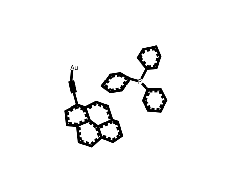 [Au][C]#Cc1ccc2ccc3cccc4ccc1c2c34.c1ccc(P(c2ccccc2)c2ccccc2)cc1